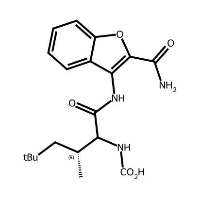 C[C@H](CC(C)(C)C)C(NC(=O)O)C(=O)Nc1c(C(N)=O)oc2ccccc12